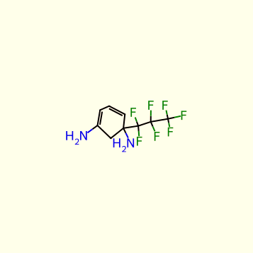 NC1=CC=CC(N)(C(F)(F)C(F)(F)C(F)(F)F)C1